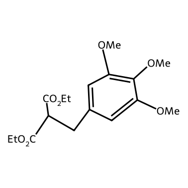 CCOC(=O)C(Cc1cc(OC)c(OC)c(OC)c1)C(=O)OCC